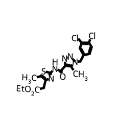 CCOC(=O)Cc1nc(NC(=O)c2nnn(Cc3ccc(Cl)c(Cl)c3)c2C)sc1C